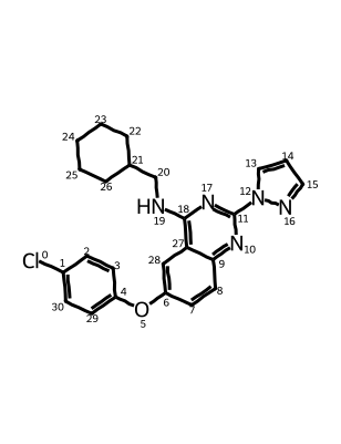 Clc1ccc(Oc2ccc3nc(-n4cccn4)nc(NCC4CCCCC4)c3c2)cc1